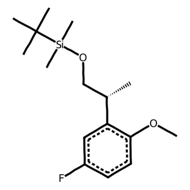 COc1ccc(F)cc1[C@@H](C)CO[Si](C)(C)C(C)(C)C